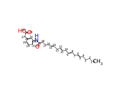 CCCCC/C=C/C/C=C/C/C=C/C/C=C/CCCC(=O)Nc1cccc(CC(=O)O)c1